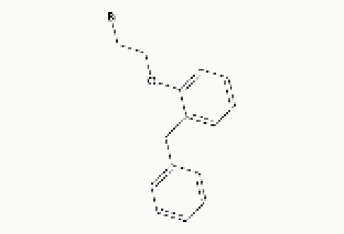 BrCCOc1ccccc1Cc1ccccc1